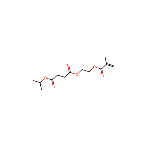 C=C(C)C(=O)OCCOC(=O)CCC(=O)OC(C)C